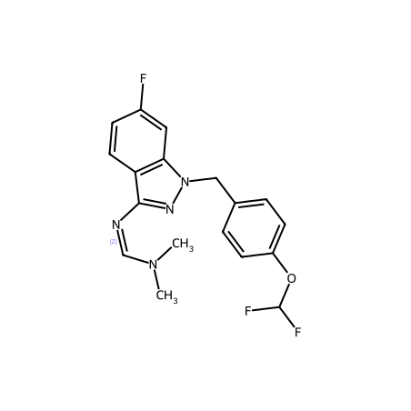 CN(C)/C=N\c1nn(Cc2ccc(OC(F)F)cc2)c2cc(F)ccc12